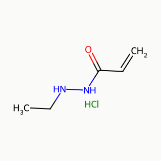 C=CC(=O)NNCC.Cl